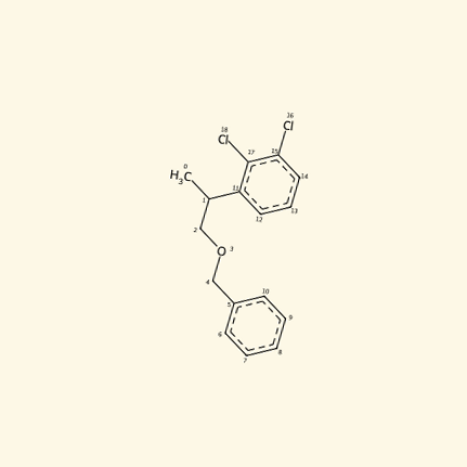 CC(COCc1ccccc1)c1cccc(Cl)c1Cl